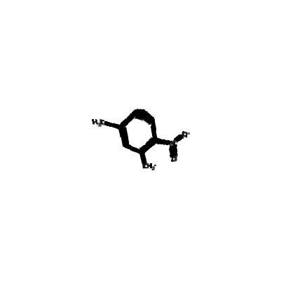 [CH2]c1cc(C)ccc1[N+](=O)[O-]